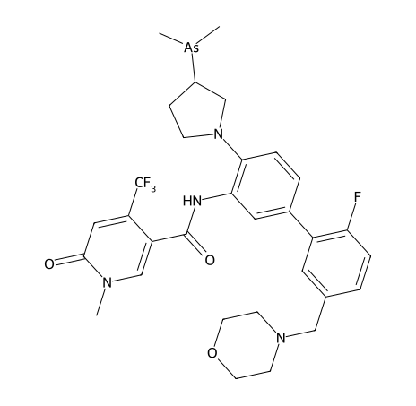 Cn1cc(C(=O)Nc2cc(-c3cc(CN4CCOCC4)ccc3F)ccc2N2CCC([As](C)C)C2)c(C(F)(F)F)cc1=O